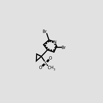 CS(=O)(=O)C1(c2cc(Br)nc(Br)c2)CC1